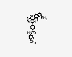 Cc1ccc(NC(=O)[C@H]2CC[C@H](c3nc(-c4ccc5ccn(C)c5c4F)c4c(N)nccn43)CC2)cn1